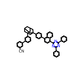 N#Cc1cccc(-c2cccc(C34CC5CC(CC(c6ccc(-c7ccc(-c8nc(-c9ccccc9)nc(-c9ccccc9)n8)c8ccccc78)cc6)(C5)C3)C4)c2)c1